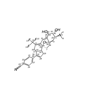 CN(C)[C@H]1C[C@@]23CC[C@@]4(O2)C(=C(C(F)(F)F)C[C@]2(C)C(c5ccc(C#N)cc5)=CCC24)C=C3[C@@H](O)[C@@H]1O